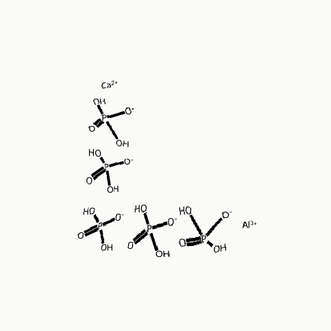 O=P([O-])(O)O.O=P([O-])(O)O.O=P([O-])(O)O.O=P([O-])(O)O.O=P([O-])(O)O.[Al+3].[Ca+2]